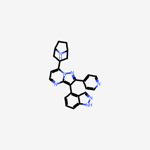 c1cc(-c2c(-c3ccncc3)nn3c(C4CC5CCC(C4)N5)ccnc23)c2cn[nH]c2c1